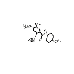 CNc1cc(NC)c([N+](=O)[O-])cc1C(=O)N[C@H]1CC[C@H](C(F)(F)F)CC1